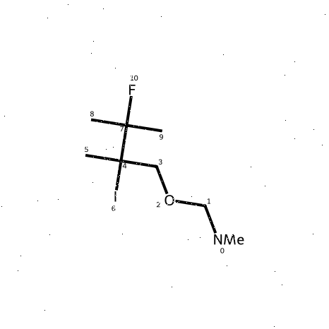 CNCOCC(C)(I)C(C)(C)F